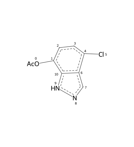 CC(=O)Oc1ccc(Cl)c2cn[nH]c12